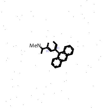 C/C=C(\C=C(/C)C(C)NC)c1c2ccccc2cc2ccccc12